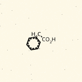 CC(=O)O.[c]1ccccc1